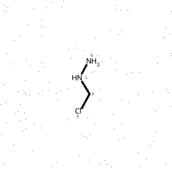 NNCCl